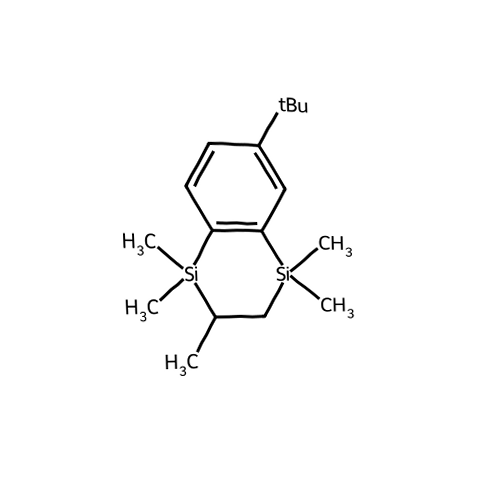 CC1C[Si](C)(C)c2cc(C(C)(C)C)ccc2[Si]1(C)C